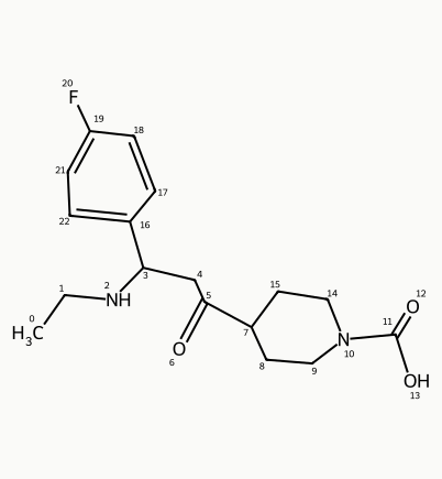 CCNC(CC(=O)C1CCN(C(=O)O)CC1)c1ccc(F)cc1